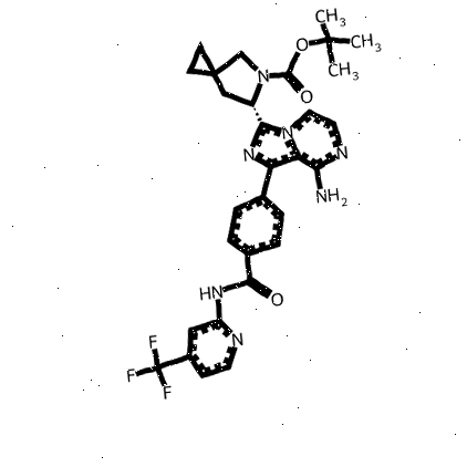 CC(C)(C)OC(=O)N1CC2(CC2)C[C@H]1c1nc(-c2ccc(C(=O)Nc3cc(C(F)(F)F)ccn3)cc2)c2c(N)nccn12